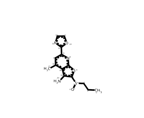 CCC[S+]([O-])c1sc2nc(-c3ncco3)cc(C)c2c1N